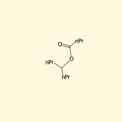 CCCC(=O)OC(CCC)CCC